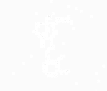 CO[C@@H]1C[C@H](OCc2cccc(F)c2F)[C@H]2CO[C@@H]1O2